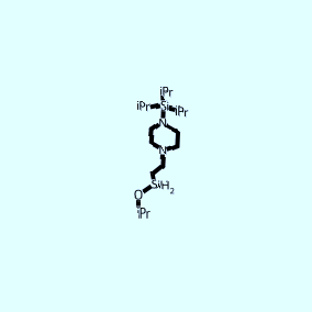 CC(C)O[SiH2]CCN1CCN([Si](C(C)C)(C(C)C)C(C)C)CC1